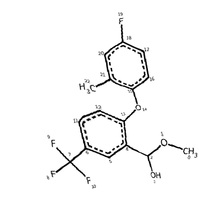 COC(O)c1cc(C(F)(F)F)ccc1Oc1ccc(F)cc1C